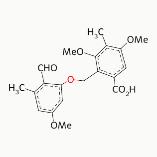 COc1cc(C)c(C=O)c(OCc2c(C(=O)O)cc(OC)c(C)c2OC)c1